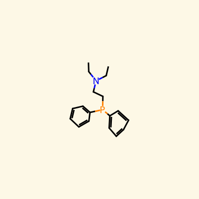 CCN(CC)CCP(c1ccccc1)c1ccccc1